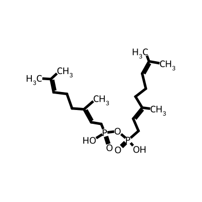 CC(C)=CCC/C(C)=C/CP(=O)(O)OP(=O)(O)C/C=C(\C)CCC=C(C)C